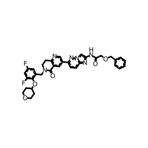 O=C(COCc1ccccc1)Nc1cn2nc(-c3cnc4c(c3)C(=O)N(Cc3cc(F)cc(F)c3OC3CCOCC3)CC4)ccc2n1